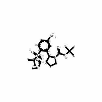 COC(=O)[C@H]1CCN(C(=O)OC(C)(C)C)C1c1cc(N)ccc1S(=O)(=O)C(C)C